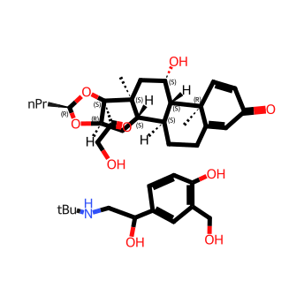 CC(C)(C)NCC(O)c1ccc(O)c(CO)c1.CCC[C@@H]1O[C@@H]2C[C@H]3[C@@H]4CCC5=CC(=O)C=C[C@]5(C)[C@H]4[C@@H](O)C[C@]3(C)[C@]2(C(=O)CO)O1